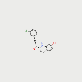 O=C(C#Cc1cccc(Cl)c1)C1CCc2ccc(O)cc2N1